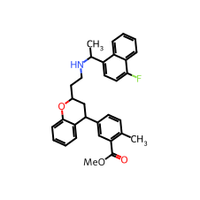 COC(=O)c1cc(C2CC(CCNC(C)c3ccc(F)c4ccccc34)Oc3ccccc32)ccc1C